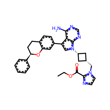 CCOC(=O)c1nccn1C[C@H]1C[C@@H](n2cc(-c3ccc4c(c3)O[C@@H](c3ccccc3)CC4)c3c(N)ncnc32)C1